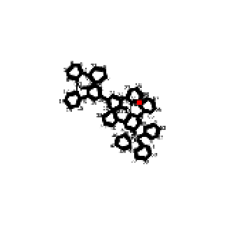 c1ccc(-c2ccccc2-n2c3ccccc3c3cc(-c4ccc5c(c4)c4ccccc4n5-c4c(-c5ccccc5)cc([Si](c5ccccc5)(c5ccccc5)c5ccccc5)cc4-c4ccccc4)ccc32)cc1